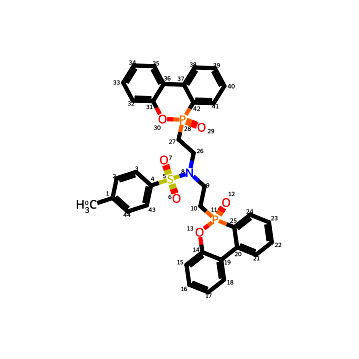 Cc1ccc(S(=O)(=O)N(CCP2(=O)Oc3ccccc3-c3ccccc32)CCP2(=O)Oc3ccccc3-c3ccccc32)cc1